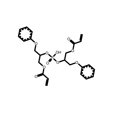 C=CC(=O)OCC(COc1ccccc1)OP(=O)(O)OC(COC(=O)C=C)COc1ccccc1